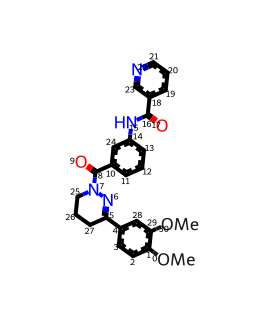 COc1ccc(C2=NN(C(=O)c3cccc(NC(=O)c4cccnc4)c3)CCC2)cc1OC